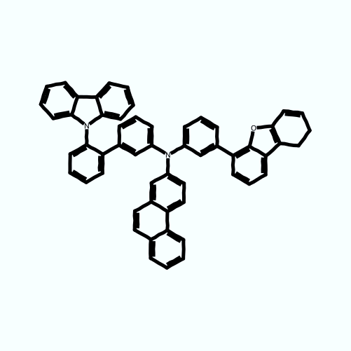 C1=Cc2oc3c(-c4cccc(N(c5cccc(-c6ccccc6-n6c7ccccc7c7ccccc76)c5)c5ccc6c(ccc7ccccc76)c5)c4)cccc3c2CC1